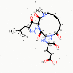 CC(C)C[C@H](N)C(=O)[C@@H]1NC(=O)[C@H](N[C@@H](C=O)CCC(=O)O)NC(=O)CCC=CCN(C)C1=O